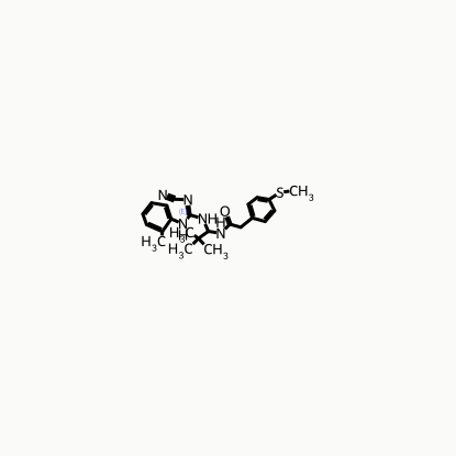 CSc1ccc(CC(=O)NC(N/C(=N/C#N)Nc2ccccc2C)C(C)(C)C)cc1